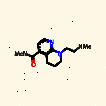 CNCCN1CCCc2c(C(=O)NC)ccnc21